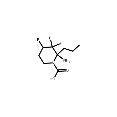 CCCC1(N)N(C(=O)O)CCC(F)C1(F)F